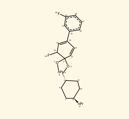 CCCOC1(OC[C@H]2CC[C@H](CCC)CC2)C=CC(c2cccc(F)c2)=CC1F